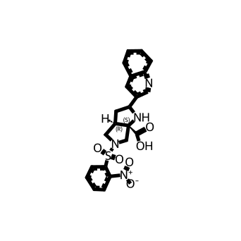 O=C(O)[C@@]12CN(S(=O)(=O)c3ccccc3[N+](=O)[O-])C[C@H]1CC(c1cnc3ccccc3c1)N2